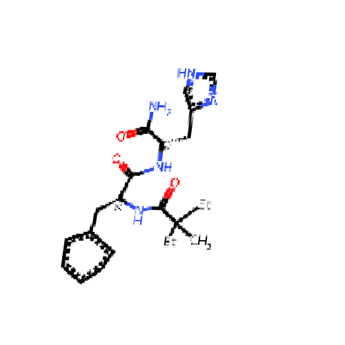 CCC(C)(CC)C(=O)N[C@@H](Cc1ccccc1)C(=O)N[C@@H](Cc1c[nH]cn1)C(N)=O